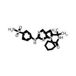 CC1(C)NC(=O)C2(CCCCC2)n2c1cc1cnc(Nc3ccc(S(N)(=O)=O)cc3)nc12